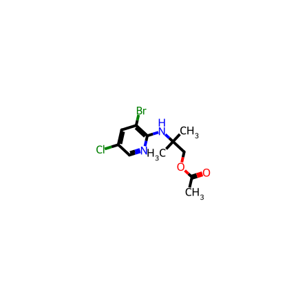 CC(=O)OCC(C)(C)Nc1ncc(Cl)cc1Br